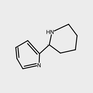 c1ccc([C]2CCCCN2)nc1